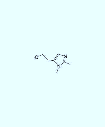 Cc1ncc(CC[O])n1C